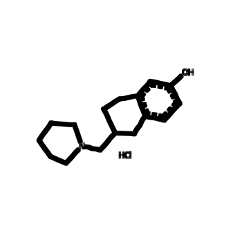 Cl.Oc1ccc2c(c1)CCC(CN1CCCCC1)C2